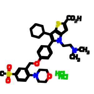 CN(C)CCn1c(-c2ccc(OCc3cc(S(C)(=O)=O)ccc3N3CCOCC3)cc2)c(C2CCCCC2)c2sc(C(=O)O)cc21.Cl.Cl